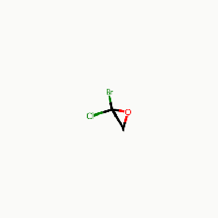 ClC1(Br)CO1